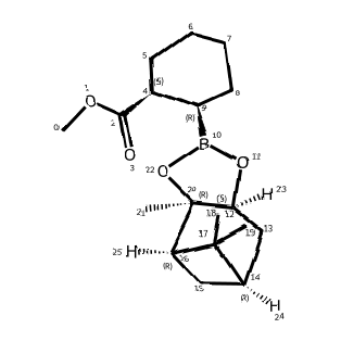 COC(=O)[C@H]1CCCC[C@H]1B1O[C@H]2C[C@H]3C[C@H](C3(C)C)[C@@]2(C)O1